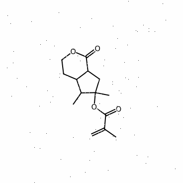 C=C(C)C(=O)OC1(C)CC2C(=O)OCCC2C1C